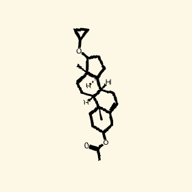 CC(=O)OC1CC[C@@]2(C)C(=CC[C@@H]3[C@H]2CC[C@]2(C)C(OC4CC4)CC[C@@H]32)C1